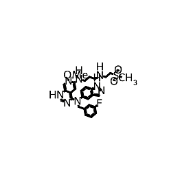 CON1C=C2NC=NC(N(Cc3cccc(F)c3)c3ccc4[nH]ncc4c3)=C2C=C1NCCCNCCS(C)(=O)=O